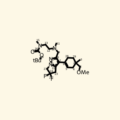 COCC1(C)CC=C(c2c(CN(C)CCN(C)C(=O)OC(C)(C)C)nn3c2CC(F)(F)C3)CC1